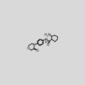 NC1CCCCC1C(=O)Nc1ccc(N2CCOCC2=O)cc1